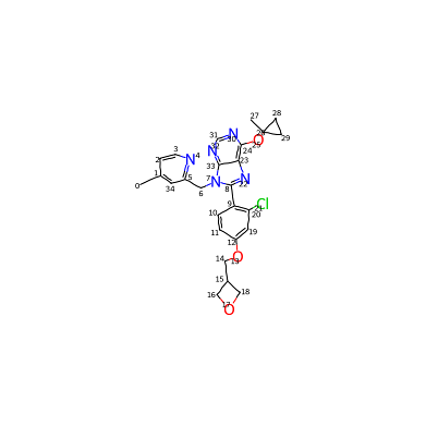 Cc1ccnc(Cn2c(-c3ccc(OCC4COC4)cc3Cl)nc3c(OC4(C)CC4)ncnc32)c1